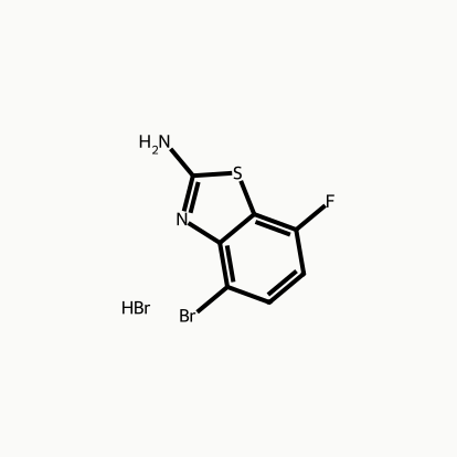 Br.Nc1nc2c(Br)ccc(F)c2s1